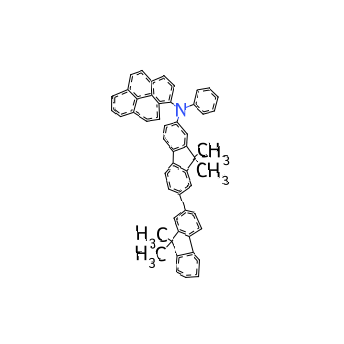 CC1(C)c2ccccc2-c2ccc(-c3ccc4c(c3)C(C)(C)c3cc(N(c5ccccc5)c5ccc6ccc7cccc8ccc5c6c78)ccc3-4)cc21